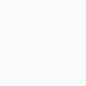 CS(=O)(=O)Nc1ccccc1-c1ccc2[nH]c(C=Cc3ccc(-c4ccccc4)cc3)nc2c1